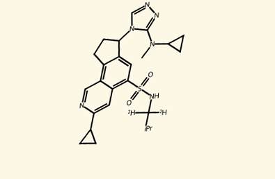 [2H]C([2H])(NS(=O)(=O)c1cc2c(c3cnc(C4CC4)cc13)CCC2n1cnnc1N(C)C1CC1)C(C)C